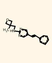 CC1(CNc2ncc(C#Cc3ccccc3)cn2)COC1